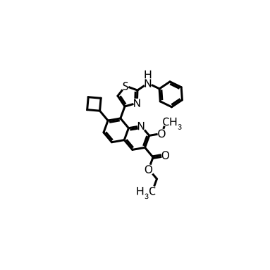 CCOC(=O)c1cc2ccc(C3CCC3)c(-c3csc(Nc4ccccc4)n3)c2nc1OC